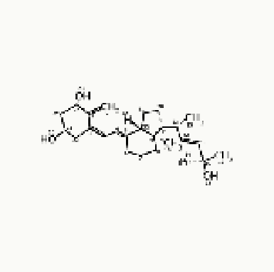 C=C1/C(=C\C=C2/CCC[C@]3(C)[C@@H]([C@H](C)/C=C/[C@@](C)(O)C(C)C)CC[C@@H]23)C[C@@H](O)CC1O